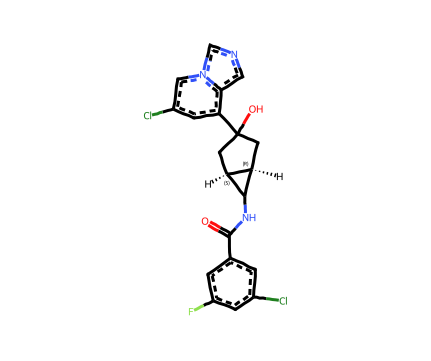 O=C(NC1[C@H]2CC(O)(c3cc(Cl)cn4cncc34)C[C@@H]12)c1cc(F)cc(Cl)c1